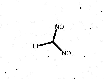 [CH2]CC(N=O)N=O